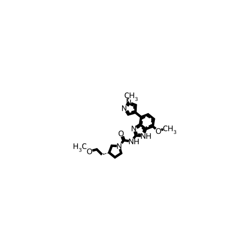 COCC[C@H]1CCN(C(=O)Nc2nc3c(-c4cnn(C)c4)ccc(OC)c3[nH]2)C1